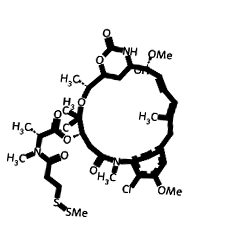 COc1cc2cc(c1Cl)N(C)C(=O)C[C@H](OC(=O)[C@@H](C)N(C)C(=O)CCSSC)C(C)(C)O[C@H](C)C1C[C@@](O)(NC(=O)O1)[C@H](OC)/C=C/C=C(\C)C2